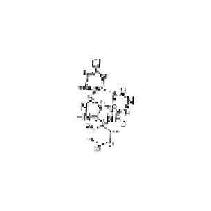 NC1(c2[nH]nc(-c3ccc(Cl)cc3)c2-c2ccncc2)CCCCC1